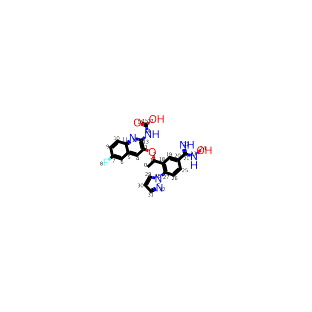 CC(Oc1cc2cc(F)ccc2nc1NC(=O)O)c1cc(C(=N)NO)ccc1-n1cccn1